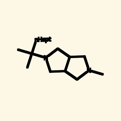 CCCCCCCC(C)(C)N1CC2CN(C)CC2C1